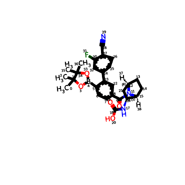 CC1(C)OB(c2ccc(C(=O)N3[C@@H]4CC[C@H]3[C@@H](NC(=O)O)C4)cc2-c2ccc(C#N)c(F)c2)OC1(C)C